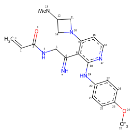 C=CC(=O)NCC(=N)c1c(N2CC(NC)C2)ccnc1Nc1ccc(OC(F)(F)F)cc1